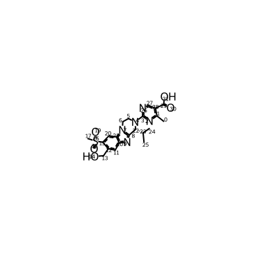 Cc1nc(N2CCn3c(nc4cc(CO)c(S(C)(=O)=O)cc43)[C@H]2C(C)C)ncc1C(=O)O